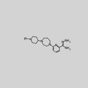 CC(C)N1CCC(N2CCCN(c3cccc(C(N)=NN)n3)CC2)CC1